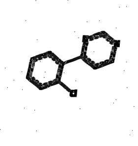 Clc1ccccc1-c1ccncn1